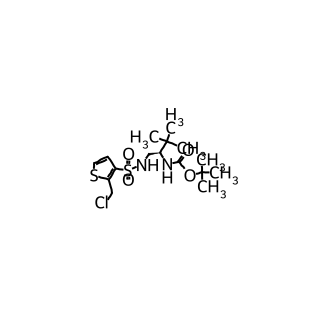 CC(C)(C)OC(=O)N[C@@H](CNS(=O)(=O)c1ccsc1CCl)C(C)(C)C